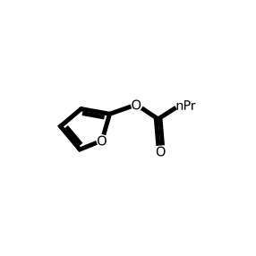 CCCC(=O)Oc1ccco1